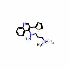 CN(C)CCCN(N)c1c(-c2cccs2)cnc2ccccc12